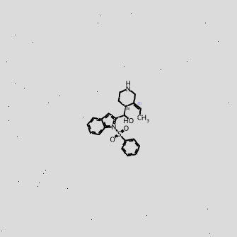 C/C=C1/CNCC[C@@H]1C(O)c1cc2ccccc2n1S(=O)(=O)c1ccccc1